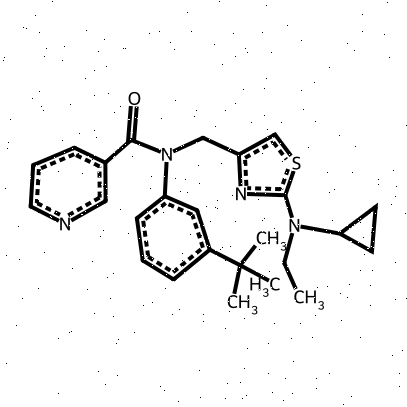 CCN(c1nc(CN(C(=O)c2cccnc2)c2cccc(C(C)(C)C)c2)cs1)C1CC1